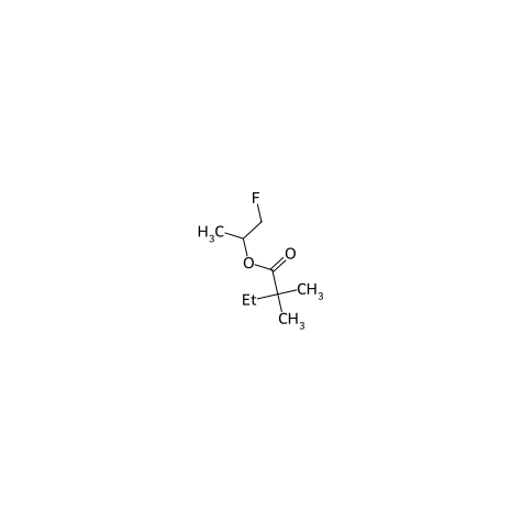 CCC(C)(C)C(=O)OC(C)CF